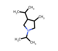 CC(C)C1CN(C(C)C)CC1C